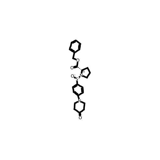 O=C1CCN(c2ccc([S+]([O-])N3CCC[C@H]3C(=O)OCc3ccccc3)cc2)CC1